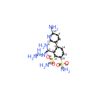 NN/N=C(\N)c1c(-c2ccc(N)nc2)ccc(S(N)(=O)=O)c1S(N)(=O)=O